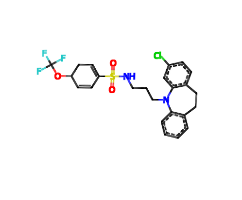 O=S(=O)(NCCCN1c2ccccc2CCc2ccc(Cl)cc21)C1=CCC(OC(F)(F)F)C=C1